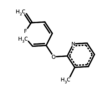 C=C(F)/C=C\C(=C/C)Oc1ncccc1C